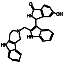 O=C1NC(c2c(CN3CCc4[nH]c5ccccc5c4C3)[nH]c3ccccc23)c2cc(O)ccc21